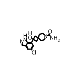 NC(=O)N1CCC2(CC1)CC(O)(c1cc(Cl)cc3cn[nH]c13)C2